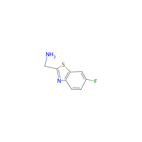 NCc1nc2ccc(F)cc2s1